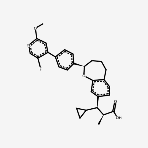 COc1cc(-c2ccc([C@H]3CCCc4ccc([C@H](C5CC5)[C@H](C)C(=O)O)cc4O3)cc2)c(F)cn1